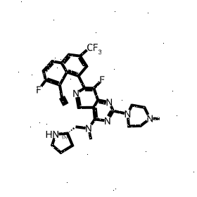 C#Cc1c(F)ccc2cc(C(F)(F)F)cc(-c3ncc4c(N(C)C[C@@H]5CCCN5)nc(N5CCN(C)CC5)nc4c3F)c12